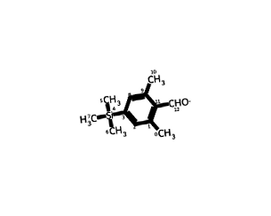 Cc1cc([Si](C)(C)C)cc(C)c1[C]=O